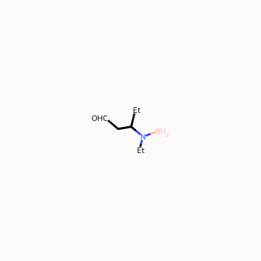 BN(CC)C(CC)CC=O